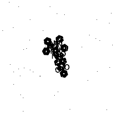 O=C1c2ccc3c(=O)n4c5nc(-c6nc7ccccc7n6-c6ccccc6)c(-c6nc7ccccc7n6-c6ccccc6)nc5nc4c4ccc(c2c34)C(=O)N1c1ccccc1